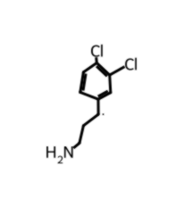 NCC[CH]c1ccc(Cl)c(Cl)c1